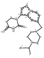 CC(C)C(C)N1CCN(Cc2ccn3ncc(N4CCC(=O)NC4=O)c3c2)CC1